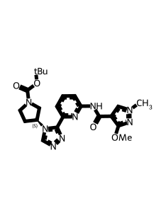 COc1nn(C)cc1C(=O)Nc1cccc(-c2nncn2[C@H]2CCN(C(=O)OC(C)(C)C)C2)n1